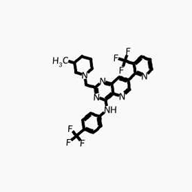 CC1CCCN(Cc2nc(Nc3ccc(C(F)(F)F)cc3)c3ncc(-c4ncccc4C(F)(F)F)cc3n2)C1